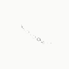 CCCCCCOc1ccc([C@H]2CC[C@H](CC[C@H]3CC[C@H](CC=CF)CC3)CC2)cc1